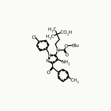 Cc1ccc(C(=O)c2nn(-c3ccc(Cl)cc3)c(N(CCC(C)(C)C(=O)O)C(=O)OC(C)(C)C)c2N)cc1